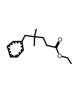 CCOC(=O)CCC(C)(C)Cc1ccccc1